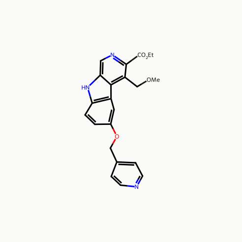 CCOC(=O)c1ncc2[nH]c3ccc(OCc4ccncc4)cc3c2c1COC